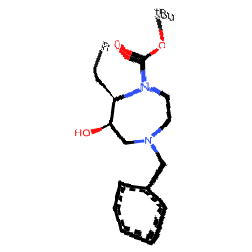 CC(C)C[C@@H]1[C@H](O)CN(Cc2ccccc2)CCN1C(=O)OC(C)(C)C